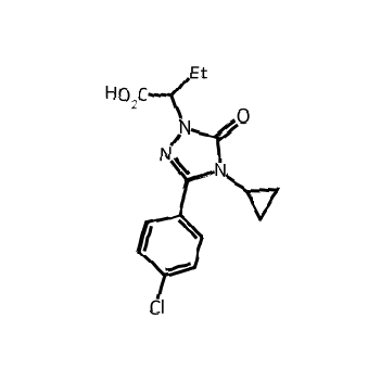 CCC(C(=O)O)n1nc(-c2ccc(Cl)cc2)n(C2CC2)c1=O